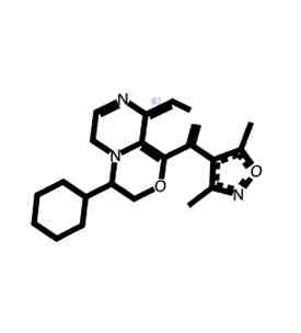 C=C(C1=C2/C(=C\C)N=CCN2C(C2CCCCC2)CO1)c1c(C)noc1C